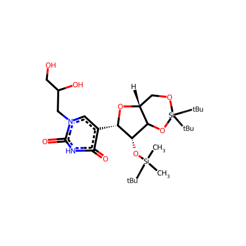 CC(C)(C)[Si](C)(C)O[C@H]1C2O[Si](C(C)(C)C)(C(C)(C)C)OC[C@H]2O[C@H]1c1cn(CC(O)CO)c(=O)[nH]c1=O